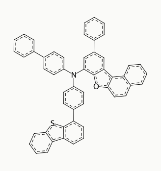 c1ccc(-c2ccc(N(c3ccc(-c4cccc5c4sc4ccccc45)cc3)c3cc(-c4ccccc4)cc4c3oc3ccc5ccccc5c34)cc2)cc1